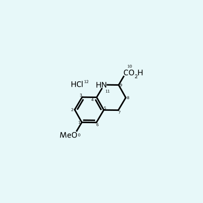 COc1ccc2c(c1)CCC(C(=O)O)N2.Cl